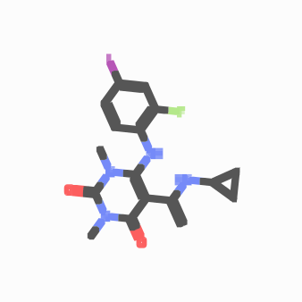 C=C(NC1CC1)c1c(Nc2ccc(I)cc2F)n(C)c(=O)n(C)c1=O